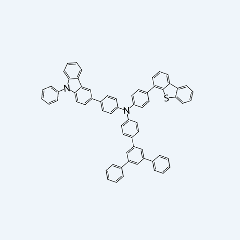 c1ccc(-c2cc(-c3ccccc3)cc(-c3ccc(N(c4ccc(-c5ccc6c(c5)c5ccccc5n6-c5ccccc5)cc4)c4ccc(-c5cccc6c5sc5ccccc56)cc4)cc3)c2)cc1